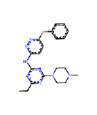 CCc1nc(Nc2ccc(Sc3ccccc3)nn2)nc(N2CCN(C)CC2)n1